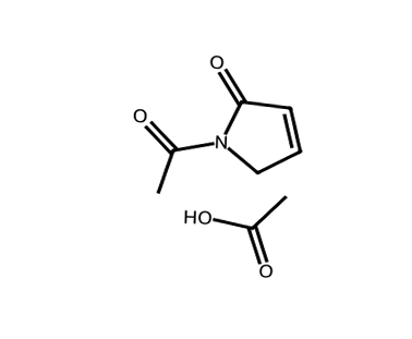 CC(=O)N1CC=CC1=O.CC(=O)O